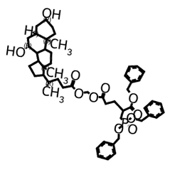 C[C@H](CCC(=O)OCOC(=O)CCC(CP(=O)(OCc1ccccc1)OCc1ccccc1)C(=O)OCc1ccccc1)C1CCC2C3C(CC[C@@]21C)[C@@]1(C)CC[C@@H](O)C[C@H]1C[C@H]3O